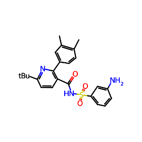 Cc1ccc(-c2nc(C(C)(C)C)ccc2C(=O)NS(=O)(=O)c2cccc(N)c2)cc1C